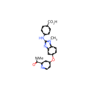 CNC(=O)c1cc(Oc2ccc3c(c2)nc(Nc2ccc(C(=O)O)cc2)n3C)ccn1